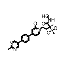 Cc1ncc(-c2ccc(-c3ccn(CC[C@](C)(C(=O)NO)S(C)(=O)=O)c(=O)c3)cc2)cn1